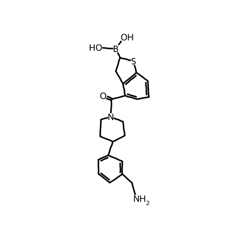 NCc1cccc(C2CCN(C(=O)c3cccc4c3CC(B(O)O)S4)CC2)c1